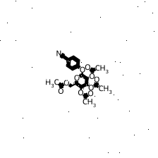 CC(=O)OC[C@H]1O[C@@H](Oc2ccc(C#N)cc2)[C@H](OC(C)=O)[C@@H](OC(C)=O)[C@H]1OC(C)=O